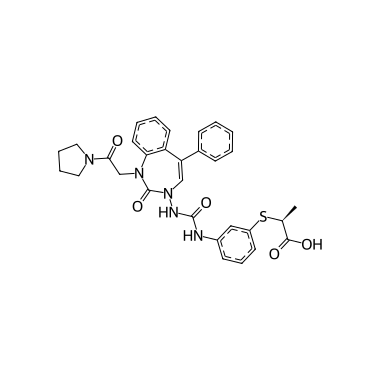 C[C@H](Sc1cccc(NC(=O)NN2C=C(c3ccccc3)c3ccccc3N(CC(=O)N3CCCC3)C2=O)c1)C(=O)O